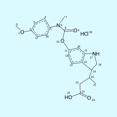 COc1ccc(N(C)C(=O)Oc2ccc3c(c2)NCC3C(C)CC(=O)O)cc1.Cl